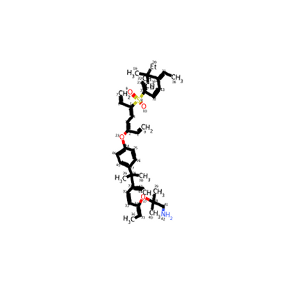 C=C/C(=C\C=C(/C=C)S(=O)(=O)C(/C=C\C(=C/C)C(C)(C)CC)=C/C)Oc1ccc(C(C)(C)C(/C=C\C(=C/C)OC(C)(C)CN)=C/C)cc1